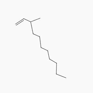 C=CC(C)CCCCCCCC